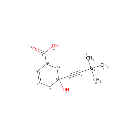 C[Si](C)(C)C#CC1(O)CC=CC(C(=O)O)C1